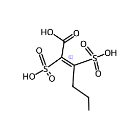 CCC/C(=C(/C(=O)O)S(=O)(=O)O)S(=O)(=O)O